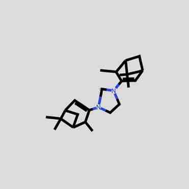 CC1C(N2[C]N(C3=CC4CC(C3C)C4(C)C)CC2)=CC2CC1C2(C)C